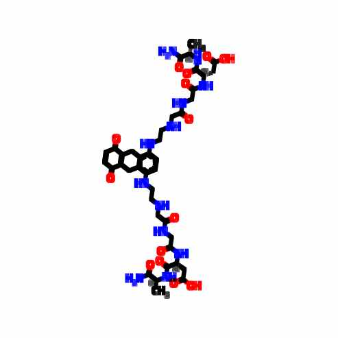 C[C@H](NC(=O)[C@H](CC(=O)O)NC(=O)CNC(=O)CNCCNc1ccc(NCCNCC(=O)NCC(=O)N[C@@H](CC(=O)O)C(=O)N[C@@H](C)C(N)=O)c2c1CC1=C(C2)C(=O)C=CC1=O)C(N)=O